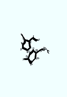 C=Cc1ccccc1C.Cc1ccc(C(C)C)cc1